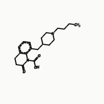 CCCCN1CCC(Cc2cccc3c2N(C(=O)O)C(=O)CC3)CC1